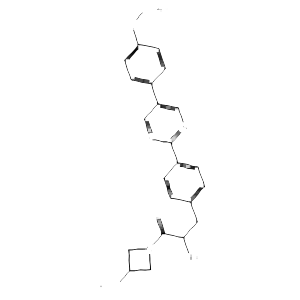 CCCCCCCOc1ccc(-c2cnc(-c3ccc(CC(C(=O)N4CC(C(=O)O)C4)C(C)CC)cc3)nc2)cc1